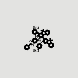 CC(C)(C)c1ccc(N2B3c4cc5nc(-c6ccccc6)sc5cc4-n4c5ccc(C(C)(C)C)cc5c5c6c(c(c3c54)-c3cc4c(cc32)-c2ccccc2C4(C)C)-c2ccccc2C6(C)C)cc1